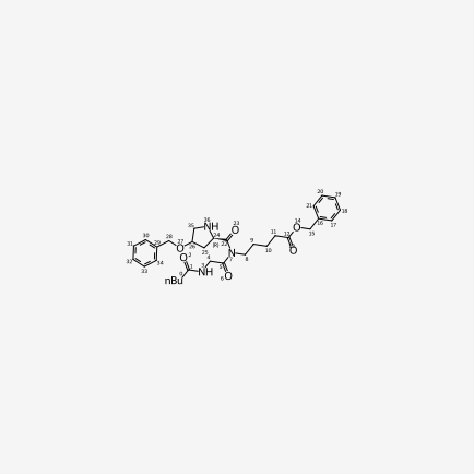 CCCCC(=O)NCC(=O)N(CCCCC(=O)OCc1ccccc1)C(=O)[C@H]1CC(OCc2ccccc2)CN1